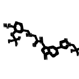 Cc1ccc(CNCC(=O)Nc2c[nH]c3ccc(-c4cnn(CC(F)(F)F)c4)cc23)cc1OC(F)(F)F